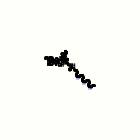 CC/C=C\C/C=C\C/C=C\C/C=C\C/C=C\C/C=C\CCC(=O)NCCNP(=O)(NCC(=O)OC)OC[C@H]1OC(n2ccc(=O)[nH]c2=O)[C@](C)(F)[C@@H]1O